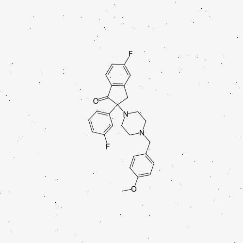 COc1ccc(CN2CCN(C3(c4cccc(F)c4)Cc4cc(F)ccc4C3=O)CC2)cc1